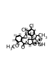 CCC(C1(c2ccc(Cl)c(Cl)c2)CCN(C(=O)c2c(OC)cccc2OC)C1)S(=O)(=O)O